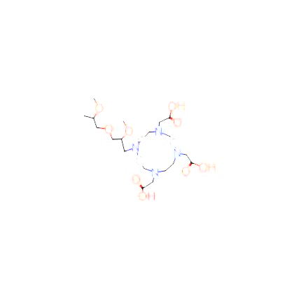 COC(C)COCC(CN1CCN(CC(=O)O)CCN(CC(=O)O)CCN(CC(=O)O)CC1)OC